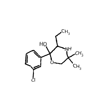 CCC1NC(C)(C)COC1(O)c1cccc(Cl)c1